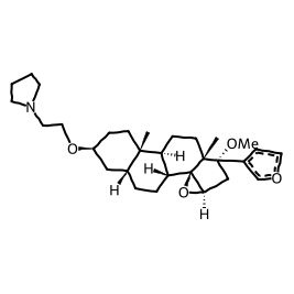 CO[C@]1(c2ccoc2)C[C@H]2O[C@]23[C@@H]2CC[C@@H]4C[C@@H](OCCN5CCCC5)CC[C@]4(C)[C@H]2CC[C@@]31C